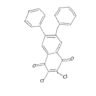 O=C1C(Cl)=C(Cl)C(=O)c2cc(-c3ccccc3)c(-c3ccccc3)cc21